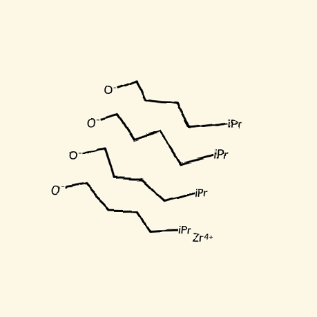 CC(C)CCCC[O-].CC(C)CCCC[O-].CC(C)CCCC[O-].CC(C)CCCC[O-].[Zr+4]